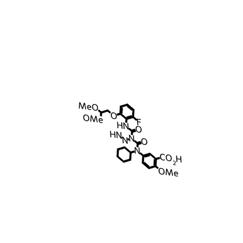 COc1ccc(N(C(=O)N(N=N)C(=O)Nc2c(F)cccc2OCC(OC)OC)C2CCCCC2)cc1C(=O)O